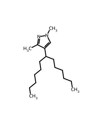 CCCCCCC(CCCCCC)c1cn(C)nc1C